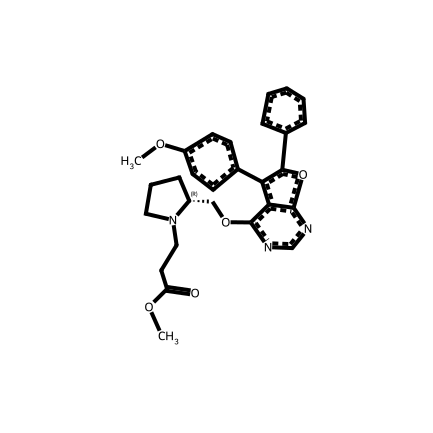 COC(=O)CCN1CCC[C@@H]1COc1ncnc2oc(-c3ccccc3)c(-c3ccc(OC)cc3)c12